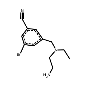 CCN(CCN)Cc1cc(Br)cc(C#N)c1